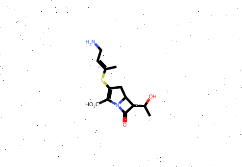 C/C(=C\CN)SC1=C(C(=O)O)N2C(=O)C(C(C)O)C2C1